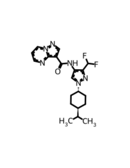 CC(C)[C@H]1CC[C@H](n2cc(NC(=O)c3cnn4cccnc34)c(C(F)F)n2)CC1